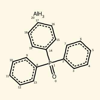 O=P(c1ccccc1)(c1ccccc1)c1ccccc1.[AlH3]